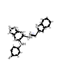 Fc1ccc(Nc2nc3nonc3nc2N/N=C/c2cc3ccccc3o2)cc1